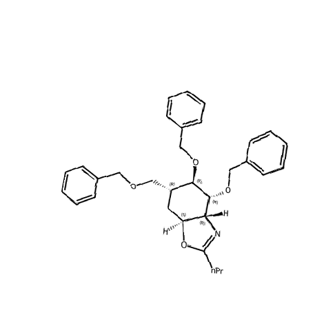 CCCC1=N[C@H]2[C@@H](OCc3ccccc3)[C@H](OCc3ccccc3)[C@@H](COCc3ccccc3)C[C@@H]2O1